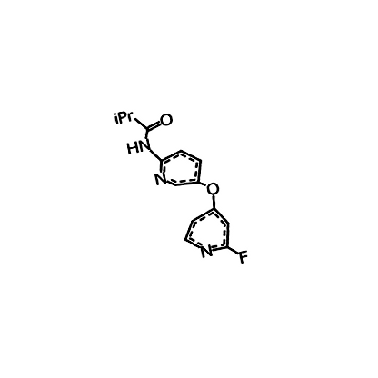 CC(C)C(=O)Nc1ccc(Oc2ccnc(F)c2)cn1